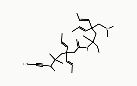 CC=CC(C=CC)(CN(C)C)CC(C)(CC)NC(=O)CC(C=CC)(C=CC)CC(C)(C)C(C)C#CO